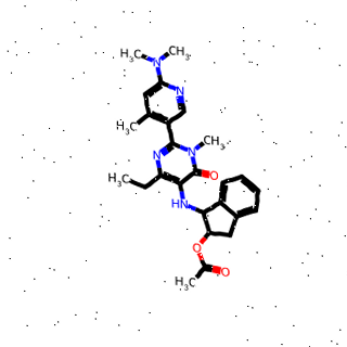 CCc1nc(-c2cnc(N(C)C)cc2C)n(C)c(=O)c1NC1c2ccccc2CC1OC(C)=O